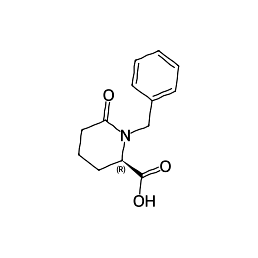 O=C(O)[C@H]1CCCC(=O)N1Cc1ccccc1